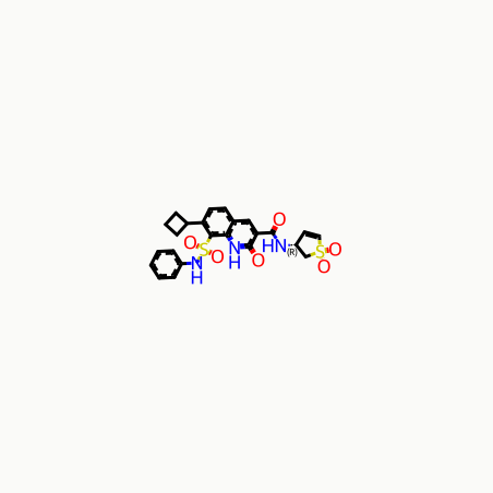 O=C(N[C@@H]1C=CS(=O)(=O)C1)c1cc2ccc(C3CCC3)c(S(=O)(=O)Nc3ccccc3)c2[nH]c1=O